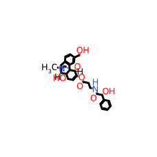 CN1CC[C@]23c4c5ccc(CO)c4O[C@H]2C(OC(=O)CCNC(=O)[C@H](O)c2ccccc2)=CC[C@@]3(O)[C@H]1C5